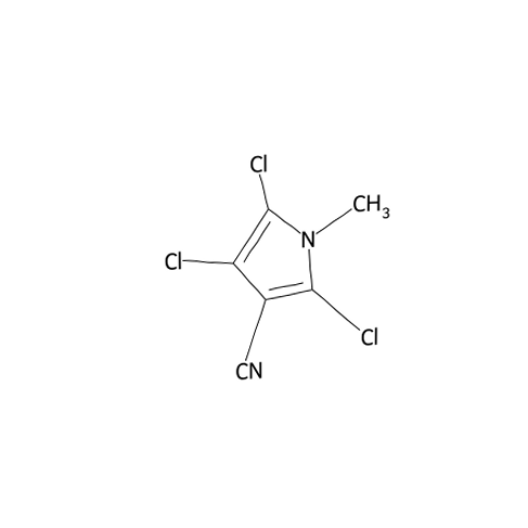 Cn1c(Cl)c(Cl)c(C#N)c1Cl